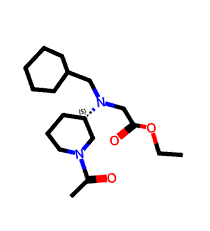 CCOC(=O)CN(CC1CCCCC1)[C@H]1CCCN(C(C)=O)C1